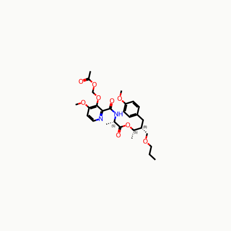 CCCOC[C@@H](Cc1ccc(OC)cc1)[C@H](C)OC(=O)[C@H](C)NC(=O)c1nccc(OC)c1OCOC(C)=O